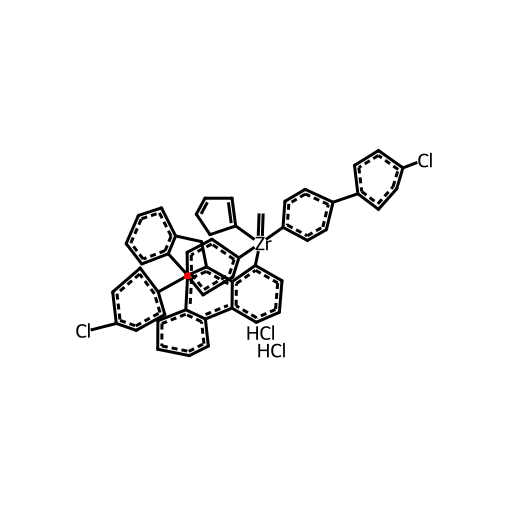 Cl.Cl.[CH2]=[Zr]([C]1=CC=CC1)([c]1ccc(-c2ccc(Cl)cc2)cc1)([c]1ccc(-c2ccc(Cl)cc2)cc1)[c]1cccc2c1c1c(c3ccccc32)-c2ccccc2C1